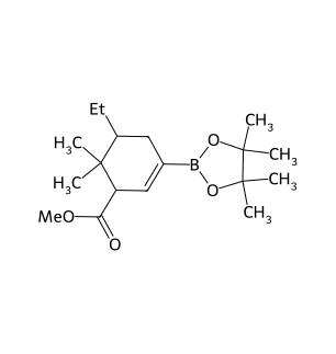 CCC1CC(B2OC(C)(C)C(C)(C)O2)=CC(C(=O)OC)C1(C)C